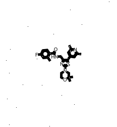 Cc1cc(-c2sc(N3CCOC(C)(C)C3)nc2CNC(=O)c2ccc(F)cc2C)cc(C)n1